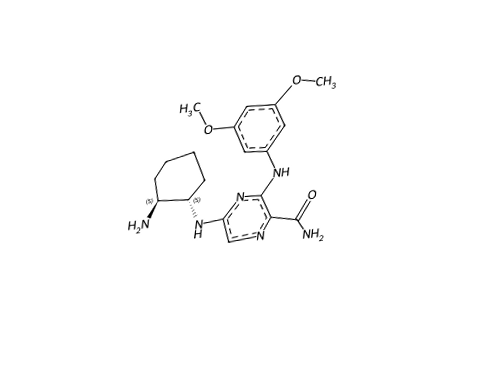 COc1cc(Nc2nc(N[C@H]3CCCC[C@@H]3N)cnc2C(N)=O)cc(OC)c1